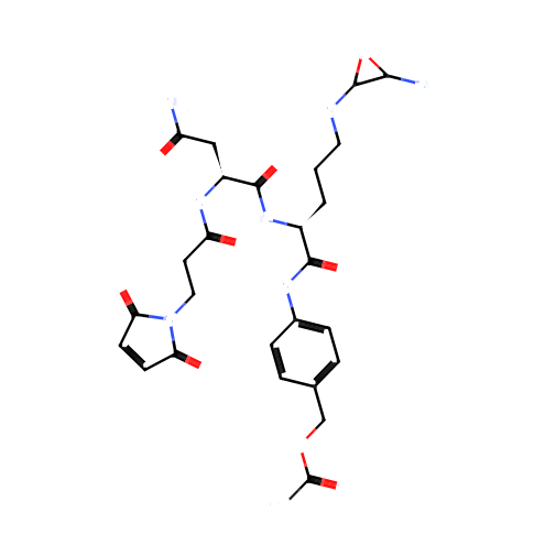 CC(C)(C)C(=O)OCc1ccc(NC(=O)[C@H](CCCNC2OC2N)NC(=O)[C@H](CC(N)=O)NC(=O)CCN2C(=O)C=CC2=O)cc1